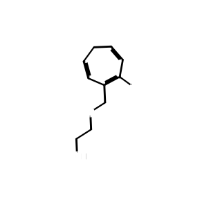 CCCSCC1=C(F)C=CCC=C1